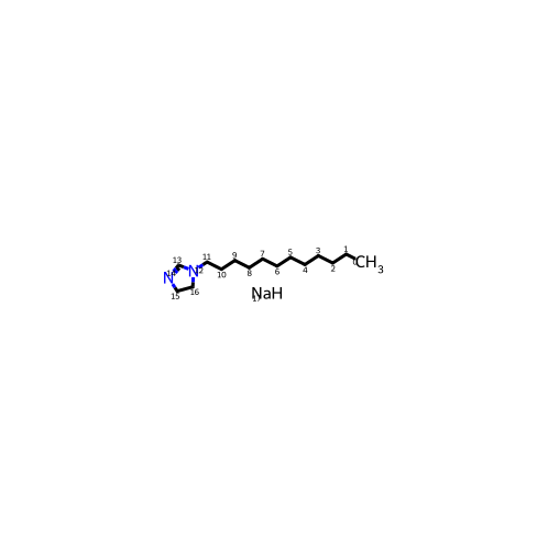 CCCCCCCCCCCCN1C=NCC1.[NaH]